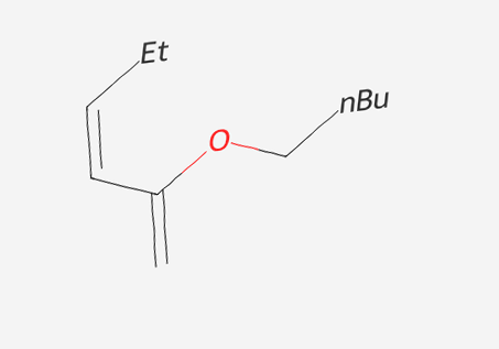 C=C(/C=C\CC)OCCCCC